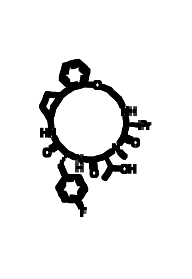 CC(C)[C@@H]1NCCOc2ccccc2C2CCC(C2)NC(=O)[C@@H](Cc2ccc(F)cc2)NC(=O)[C@H](C(C)O)N(C)C1=O